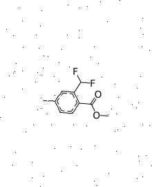 COC(=O)c1ccc(C)cc1C(F)F